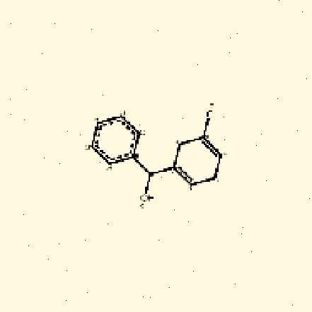 OC(C1=CCC=C(Cl)C1)c1ccccc1